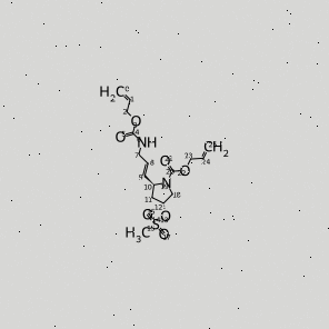 C=CCOC(=O)NCC=C[C@@H]1C[C@@H](OS(C)(=O)=O)CN1C(=O)OCC=C